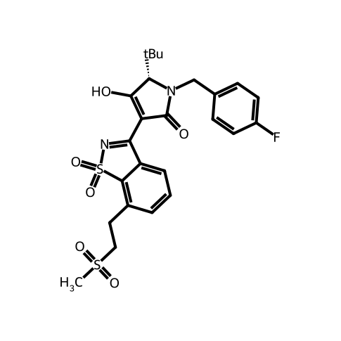 CC(C)(C)[C@H]1C(O)=C(C2=NS(=O)(=O)c3c(CCS(C)(=O)=O)cccc32)C(=O)N1Cc1ccc(F)cc1